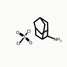 NC1C2CC3CC(C2)CC1C3.O=S(=O)(Cl)Cl